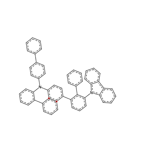 c1ccc(-c2ccc(N(c3ccc(-c4cccc(-n5c6ccccc6c6ccccc65)c4-c4ccccc4)cc3)c3ccccc3-c3ccccc3)cc2)cc1